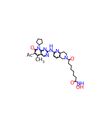 CC(=O)c1c(C)c2cnc(Nc3ccc4c(n3)CCN(C(=O)CCCCCCC(=O)NO)C4)nc2n(C2CCCC2)c1=O